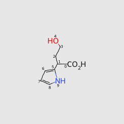 O=C(O)C(CCO)c1ccc[nH]1